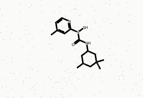 Cc1ccnc(N(S)C(=O)NC2CC(C)CC(C)(C)C2)c1